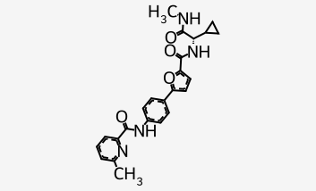 CNC(=O)[C@@H](NC(=O)c1ccc(-c2ccc(NC(=O)c3cccc(C)n3)cc2)o1)C1CC1